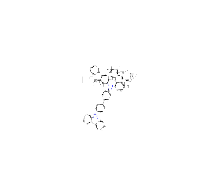 C[C@@H]1C[C@@H]2CC[C@@H](C2)C12c1ccccc1-c1c(N(c3ccc(-c4ccc(-n5c6ccccc6c6ccccc65)cc4)cc3)c3ccc4c(c3)C(C)(C)c3ccccc3-4)cccc12